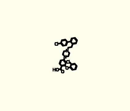 O=C(O)c1ccc(N2CCN(CCc3ccccc3-c3ccc(Cl)cc3)CC2)cc1Oc1ccccc1Cl